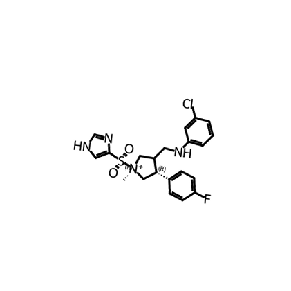 C[N@+]1(S(=O)(=O)c2c[nH]cn2)CC(CNc2cccc(Cl)c2)[C@H](c2ccc(F)cc2)C1